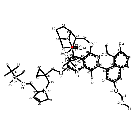 CCc1c(F)ccc2cc(OCOC)cc(-c3nc4c5c(nc(OCC6(CN7CC=CC7CO[Si](C)(C)C(C)(C)C)CC6)nc5c3F)N3CC5CCC(C3CO4)N5C(=O)OC(C)(C)C)c12